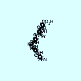 CC(C)Oc1c(NC(=O)c2ccc(NC(=O)[C@@H](NC(=O)c3ccc(NC(=O)c4ccc(C#N)cc4)cc3)[C@H](C)O)cc2)ccc(C(=O)Nc2ccc(C(=O)O)cc2)c1O